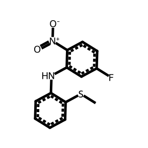 CSc1ccccc1Nc1cc(F)ccc1[N+](=O)[O-]